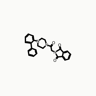 O=C(CN1C(=O)c2ccccc2C1=O)N1CCN(c2ccccc2-c2ccccc2)CC1